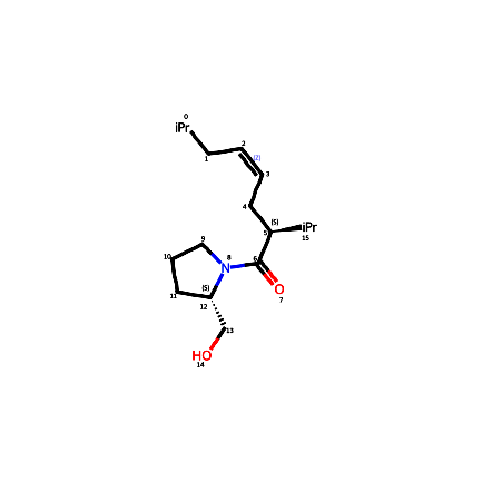 CC(C)C/C=C\C[C@H](C(=O)N1CCC[C@H]1CO)C(C)C